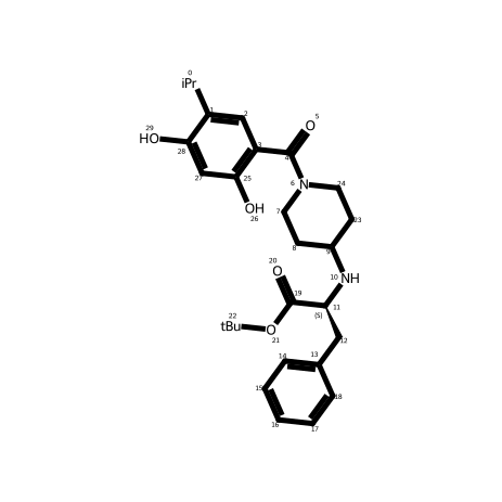 CC(C)c1cc(C(=O)N2CCC(N[C@@H](Cc3ccccc3)C(=O)OC(C)(C)C)CC2)c(O)cc1O